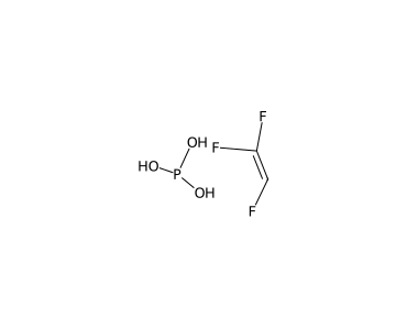 FC=C(F)F.OP(O)O